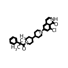 CC(C)(C(=O)N1CCC(C2CCN(c3cc(Cl)c4c(=O)[nH]ccc4c3)CC2)CC1)c1ccccc1